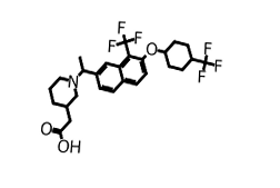 CC(c1ccc2ccc(OC3CCC(C(F)(F)F)CC3)c(C(F)(F)F)c2c1)N1CCCC(CC(=O)O)C1